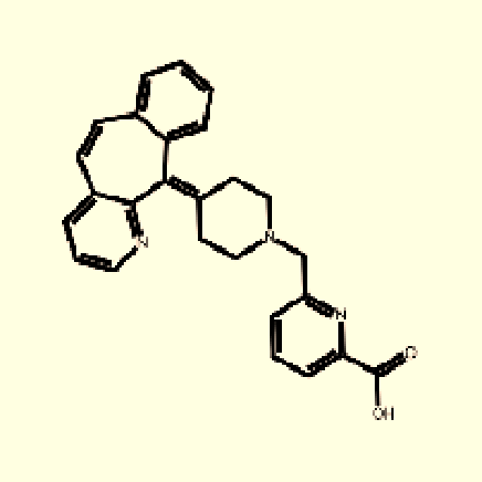 O=C(O)c1cccc(CN2CCC(=C3c4ccccc4C=Cc4cccnc43)CC2)n1